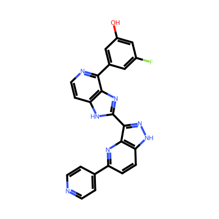 Oc1cc(F)cc(-c2nccc3[nH]c(-c4n[nH]c5ccc(-c6ccncc6)nc45)nc23)c1